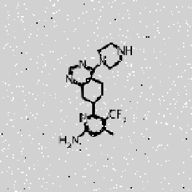 Cc1cc(N)nc(C2CCc3c(ncnc3N3CCNCC3)C2)c1C(F)(F)F